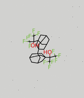 OC(C(F)(F)F)(C(F)(F)F)C12CC3CC(CC(C45CC6CC(C4)CC(C(O)(C(F)(F)F)C(F)(F)F)(C6)C5)(C3)C1)C2